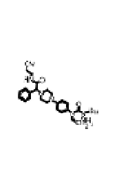 C=CN(C(=O)N(N)C(C)CC)c1ccc(N2CCN(C(C(=O)NCCC#N)c3ccccc3)CC2)cc1